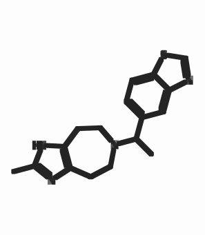 Cc1nc2c([nH]1)CCN(C(C)c1ccc3scnc3c1)CC2